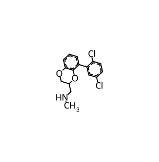 CNCC1COc2cccc(-c3cc(Cl)ccc3Cl)c2O1